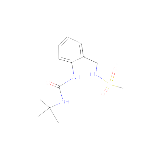 CC(C)(C)NC(=O)Nc1ccccc1CNS(C)(=O)=O